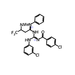 CNC(C/C(=N/c1ccccc1)N/C(=N\C(=O)c1ccc(Cl)cc1)Nc1cccc(Cl)c1)C(F)(F)F